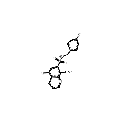 COc1c(S(=O)(=O)NCc2ccc(Cl)cc2)cc(Cl)c2cccnc12